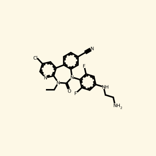 CCN1C(=O)N(c2c(F)cc(NCCN)cc2F)c2cc(C#N)ccc2-c2cc(Cl)cnc21